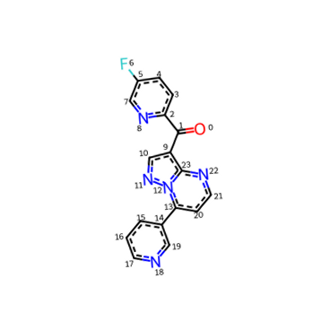 O=C(c1ccc(F)cn1)c1cnn2c(-c3cccnc3)ccnc12